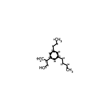 [CH2]C(CO)c1cc(CCC)cc(CCCC)c1